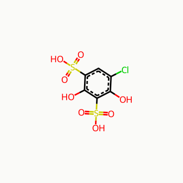 O=S(=O)(O)c1cc(Cl)c(O)c(S(=O)(=O)O)c1O